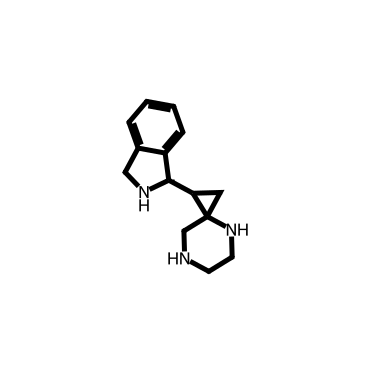 c1ccc2c(c1)CN[C]2C1CC12CNCCN2